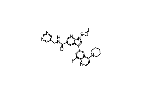 O=C(NCc1cncnc1)c1cnc2c(c1)c(-c1cc(F)c3nccc(N4CCCCC4)c3c1)cn2SOI